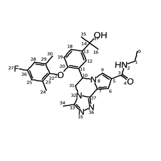 CCNC(=O)c1cc2n(c1)C(c1cc(C(C)(C)O)ccc1Oc1c(C)cc(F)cc1C)Cn1c(C)nnc1-2